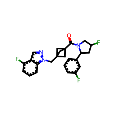 O=C(N1CC(F)CC1c1cccc(F)c1)C12CC(Cn3ncc4c(F)cccc43)(C1)C2